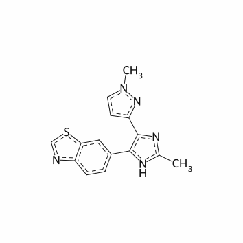 Cc1nc(-c2ccn(C)n2)c(-c2ccc3ncsc3c2)[nH]1